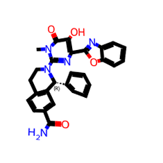 Cn1c(N2CCc3ccc(C(N)=O)cc3[C@H]2c2ccccc2)nc(-c2nc3ccccc3o2)c(O)c1=O